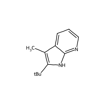 Cc1c(C(C)(C)C)[nH]c2ncccc12